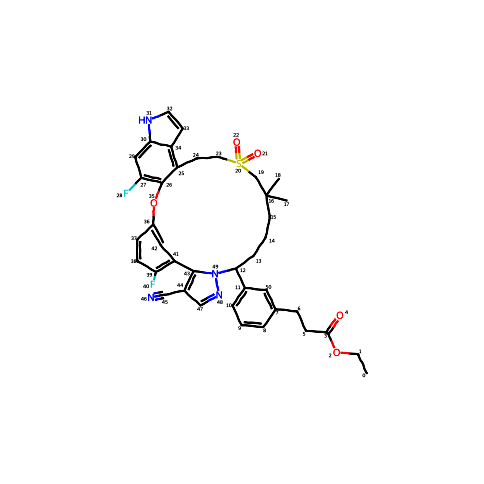 CCOC(=O)CCc1cccc(C2CCCC(C)(C)CS(=O)(=O)CCc3c(c(F)cc4[nH]ccc34)Oc3ccc(F)c(c3)-c3c(C#N)cnn32)c1